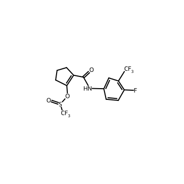 O=C(Nc1ccc(F)c(C(F)(F)F)c1)C1=C(OS(=O)C(F)(F)F)CCC1